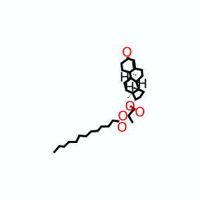 CCCCCCCCCCCCC(=O)OC(C)C(=O)O[C@H]1CC[C@H]2[C@@H]3CCC4=CC(=O)CC[C@]4(C)[C@H]3CC[C@]12C